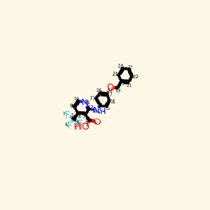 O=C(O)c1c(C(F)(F)F)ccnc1Nc1ccc(OCc2ccccc2)cc1